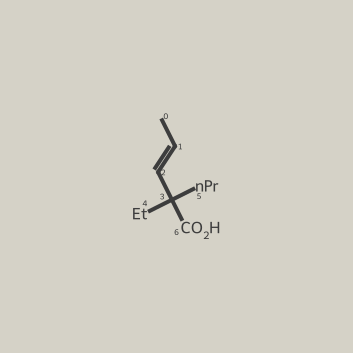 CC=CC(CC)(CCC)C(=O)O